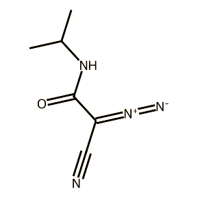 CC(C)NC(=O)C(C#N)=[N+]=[N-]